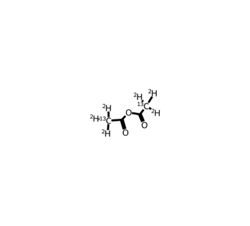 [2H][13C]([2H])([2H])C(=O)OC(=O)[13C]([2H])([2H])[2H]